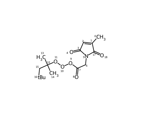 CC1=CC(=O)N(CC(=O)OOOC(C)(C)CC(C)(C)C)C1=O